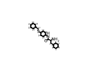 NC(Cc1ccccc1)C(=O)Nc1ccc(SCc2ccccc2)cc1